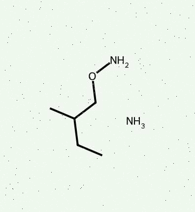 CCC(C)CON.N